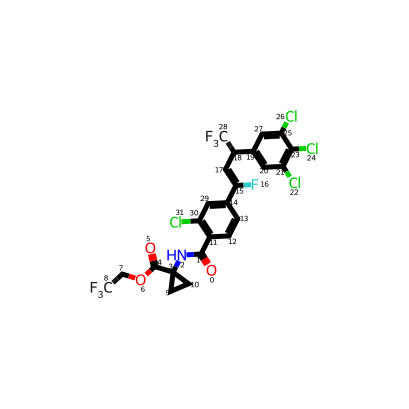 O=C(NC1(C(=O)OCC(F)(F)F)CC1)c1ccc(/C(F)=C/C(c2cc(Cl)c(Cl)c(Cl)c2)C(F)(F)F)cc1Cl